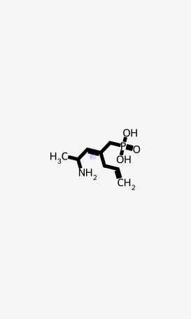 C=CC/C(=C\C(C)N)CP(=O)(O)O